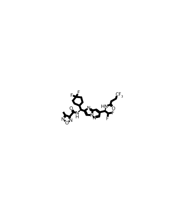 Cc1nonc1C(=O)N[C@H](c1cn2ncc([C@@H](NC(=O)CCC(F)(F)F)C(F)F)cc2n1)C1CCC(F)(F)CC1